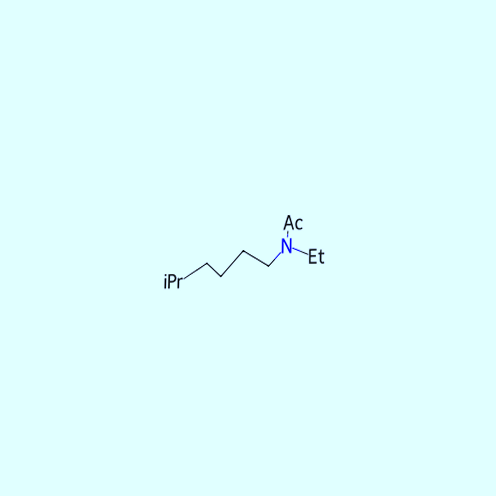 CCN(CCCCC(C)C)C(C)=O